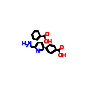 NCc1ccccn1.O=C(O)c1ccccc1.O=C(O)c1ccccc1